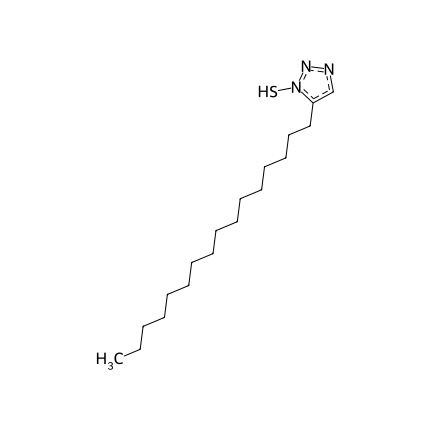 CCCCCCCCCCCCCCCCc1cnnn1S